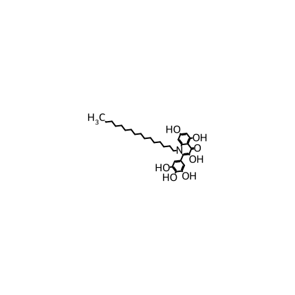 CCCCCCCCCCCCCCCCn1c(-c2cc(O)c(O)c(O)c2)c(O)c(=O)c2c(O)cc(O)cc21